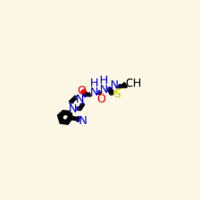 C#Cc1nc(NC(=O)NCC(=O)N2CCN(c3ccccc3C#N)CC2)cs1